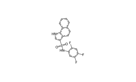 O=S(=O)(Nc1cc(F)c(F)cc1F)c1c[nH]c2c1ccc1ccccc12